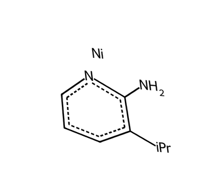 CC(C)c1cccnc1N.[Ni]